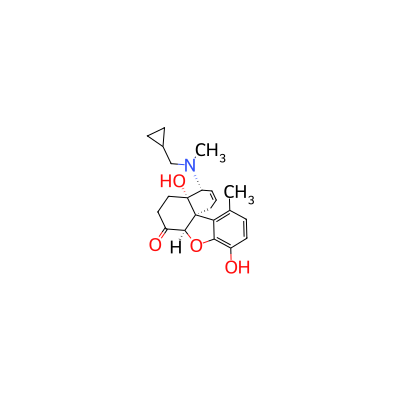 Cc1ccc(O)c2c1[C@]13CC=C[C@@H](N(C)CC4CC4)[C@]1(O)CCC(=O)[C@@H]3O2